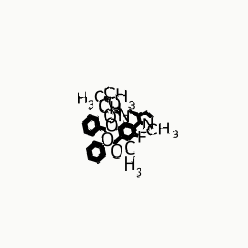 Cc1c(F)c2c(c(OCc3ccccc3)c1C(=O)Oc1ccccc1)N(C(=O)OC(C)(C)C)CC1CCN(C)C21